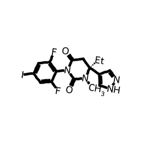 CC[C@@]1(c2cn[nH]c2)CC(=O)N(c2c(F)cc(I)cc2F)C(=O)N1C